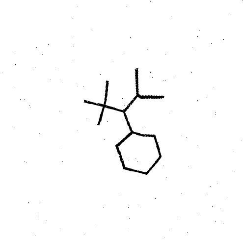 CC(C)[C](C1CCCCC1)C(C)(C)C